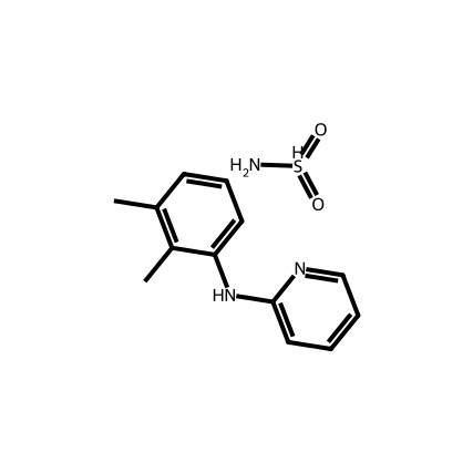 Cc1cccc(Nc2ccccn2)c1C.N[SH](=O)=O